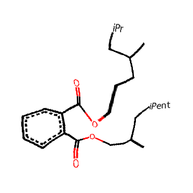 CCCC(C)CC(C)COC(=O)c1ccccc1C(=O)OCCCC(C)CC(C)C